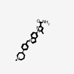 Cc1cc(C(N)=O)nn1-c1ccc2c(ccn2Cc2ccc([C@H]3CCCN(C)CC3)cc2)c1